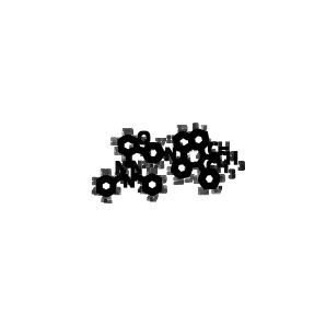 CC(C)(C)C1c2cccc3ccc4c(c23)c2c(cccc2n4-c2ccc3c(c2)oc2cccc(-c4nc(-c5ccccc5)nc(-c5ccccc5)n4)c23)C1c1ccccc1